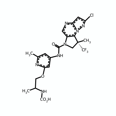 Cc1cc(NC(=O)N2C[C@@](C)(C(F)(F)F)c3c2cnc2cc(Cl)nn32)cc(OCC(C)NC(=O)O)n1